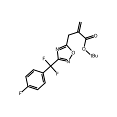 C=C(Cc1nc(C(F)(F)c2ccc(F)cc2)no1)C(=O)OC(C)(C)C